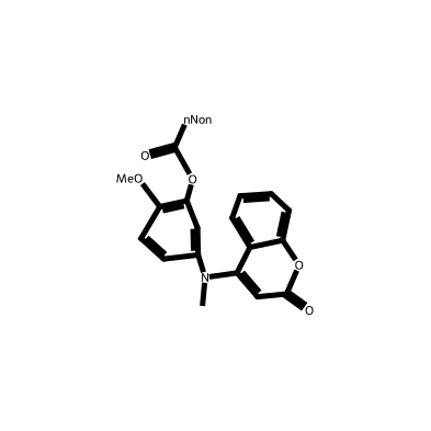 CCCCCCCCCC(=O)Oc1cc(N(C)c2cc(=O)oc3ccccc23)ccc1OC